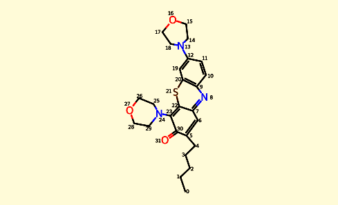 CCCCCc1cc2nc3ccc(N4CCOCC4)cc3sc-2c(N2CCOCC2)c1=O